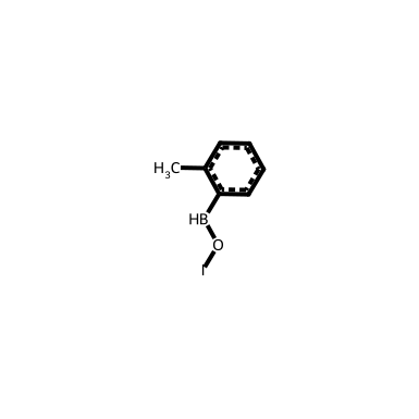 Cc1ccccc1BOI